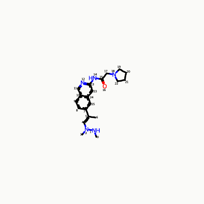 CNN(C)/C=C(\C)c1ccc2cnc(NC(=O)CN3CCCC3)cc2c1